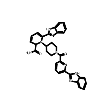 NC(=O)C1C=CC=C(c2nc3ccccc3[nH]2)N1C1CCN(C(=O)c2cccc(-c3nc4ccccc4[nH]3)n2)CC1